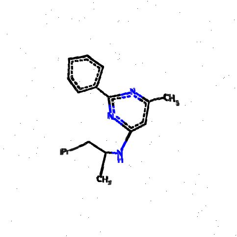 Cc1cc(NC(C)CC(C)C)nc(-c2ccccc2)n1